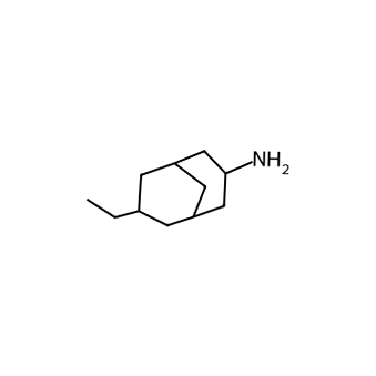 CCC1CC2CC(N)CC(C1)C2